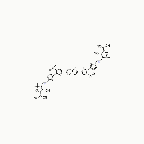 CC1(C)OC(=C(C#N)C#N)C(C#N)=C1/C=C/c1cc2c(s1)-c1sc(-c3cc4sc(-c5cc6c(s5)-c5sc(/C=C/C7=C(C#N)C(=C(C#N)C#N)OC7(C)C)cc5OC6(C)C)cc4s3)cc1C(C)(C)O2